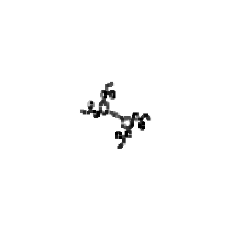 C=CC(=O)Oc1cc(C#Cc2cc(OC(=O)C=C)cc(OC(=O)C=C)c2)cc(OC(=O)C=C)c1